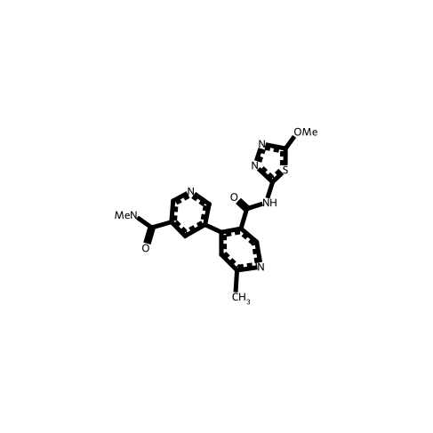 CNC(=O)c1cncc(-c2cc(C)ncc2C(=O)Nc2nnc(OC)s2)c1